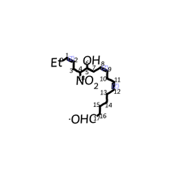 CC/C=C\CC(C(O)C/C=C\C/C=C\CCCC[C]=O)[N+](=O)[O-]